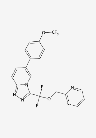 FC(F)(F)Oc1ccc(-c2ccc3nnc(C(F)(F)OCc4ncccn4)n3c2)cc1